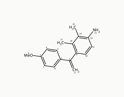 C=C(c1ccc(OC)cc1)c1ccc(N)c(C)c1C